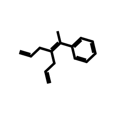 C=CCC(CC=C)=C(C)c1ccccc1